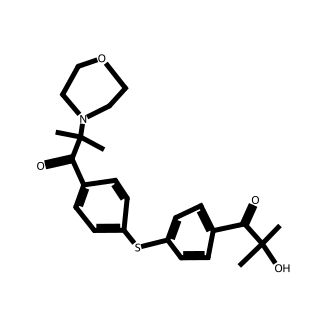 CC(C)(O)C(=O)c1ccc(Sc2ccc(C(=O)C(C)(C)N3CCOCC3)cc2)cc1